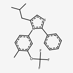 Cc1ccc(-n2c(CC(C)C)cnc2-c2ccccc2)cc1OC(F)(F)F